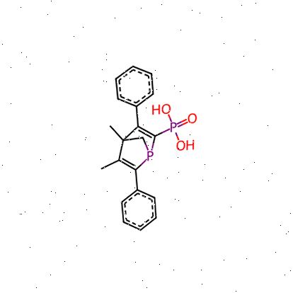 CC1=C(c2ccccc2)P2CC1(C)C(c1ccccc1)=C2P(=O)(O)O